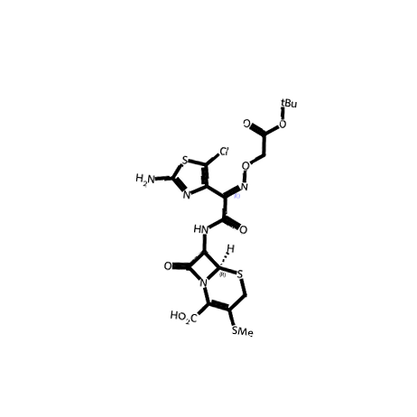 CSC1=C(C(=O)O)N2C(=O)C(NC(=O)/C(=N/OCC(=O)OC(C)(C)C)c3nc(N)sc3Cl)[C@H]2SC1